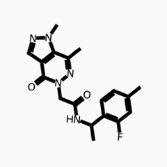 Cc1ccc(C(C)NC(=O)Cn2nc(C)c3c(cnn3C)c2=O)c(F)c1